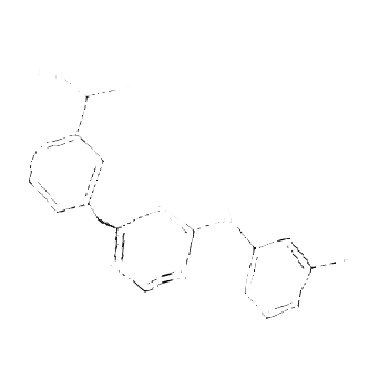 CC(N)c1cc(-c2ncnc(Nc3cccc(Cl)c3)n2)ccn1